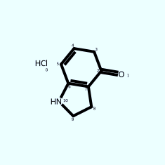 Cl.O=C1CC=CC2=C1CCN2